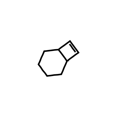 C1=CC2CCCC[C]12